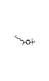 O=C(CCCCO)c1ccc(C(F)(F)F)cc1